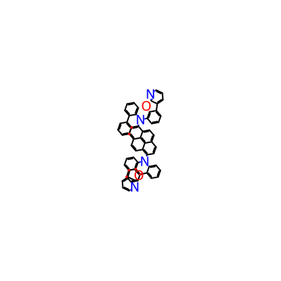 c1ccc(-c2ccccc2N(c2ccc3ccc4c(N(c5ccccc5-c5ccccc5)c5cccc6c5oc5ncccc56)ccc5ccc2c3c54)c2cccc3c2oc2ncccc23)cc1